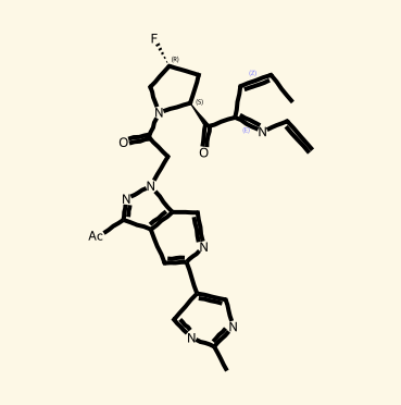 C=C/N=C(\C=C/C)C(=O)[C@@H]1C[C@@H](F)CN1C(=O)Cn1nc(C(C)=O)c2cc(-c3cnc(C)nc3)ncc21